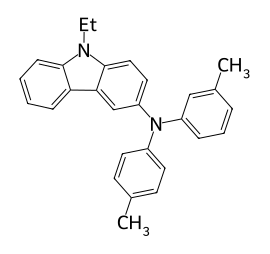 CCn1c2ccccc2c2cc(N(c3ccc(C)cc3)c3cccc(C)c3)ccc21